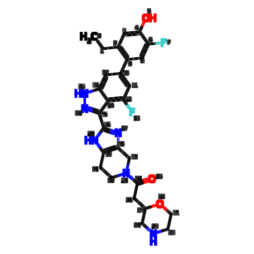 CCc1cc(O)c(F)cc1-c1cc(F)c2c(-c3nc4c([nH]3)CCN(C(=O)CC3CNCCO3)C4)n[nH]c2c1